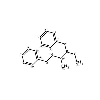 C[CH]C(Cc1ccccc1)C(C)CCc1ccccc1